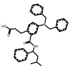 CC(C)CC(NC(=O)c1cc(N(Cc2ccccc2)Cc2ccccc2)ccc1CCC(=O)O)c1ccccc1